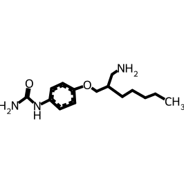 CCCCCC(CN)COc1ccc(NC(N)=O)cc1